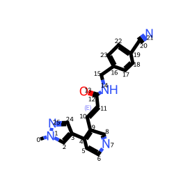 Cn1cc(-c2ccncc2/C=C/C(=O)NCc2ccc(C#N)cc2)cn1